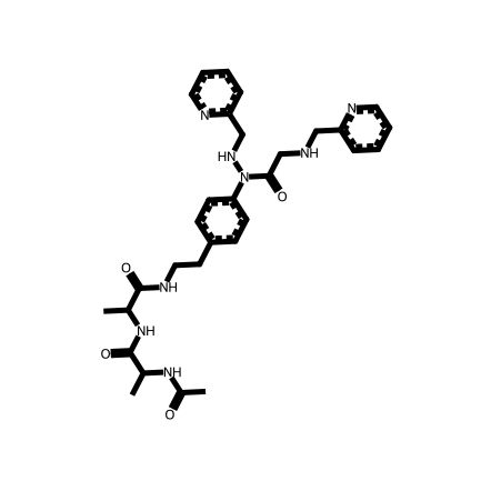 CC(=O)NC(C)C(=O)NC(C)C(=O)NCCc1ccc(N(NCc2ccccn2)C(=O)CNCc2ccccn2)cc1